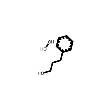 OCCCc1ccccc1.OO